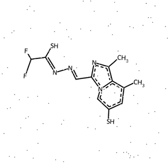 Cc1cc(S)cn2c(C=NN=C(S)C(F)F)nc(C)c12